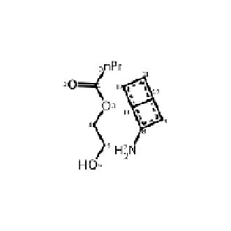 CCCC(=O)OCCO.Nc1cc2ccc1-2